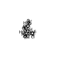 CS(=O)(=O)Nc1ccc2c(c1)S(=O)(=O)N=C(C1=C(O)C3C([C@@H]4CC[C@H]3C4)N(Cc3ccc(F)cc3Cl)C1=O)N2